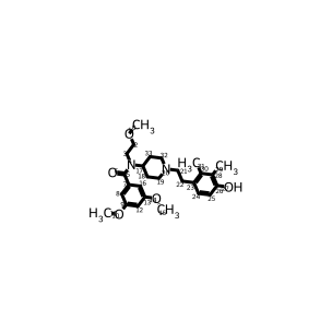 COCCN(C(=O)c1cc(OC)cc(OC)c1)C1CCN(CCc2ccc(O)c(C)c2C)CC1